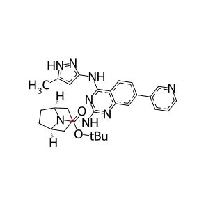 Cc1cc(Nc2nc(N[C@@H]3C[C@H]4CC[C@@H](C3)N4C(=O)OC(C)(C)C)nc3cc(-c4cccnc4)ccc23)n[nH]1